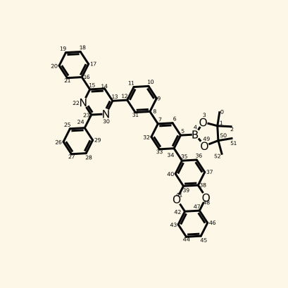 CC1(C)OB(c2cc(-c3cccc(-c4cc(-c5ccccc5)nc(-c5ccccc5)n4)c3)ccc2-c2ccc3c(c2)Oc2ccccc2O3)OC1(C)C